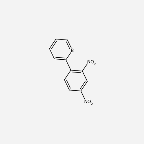 O=[N+]([O-])c1ccc(-c2bcccc2)c([N+](=O)[O-])c1